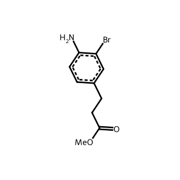 COC(=O)CCc1ccc(N)c(Br)c1